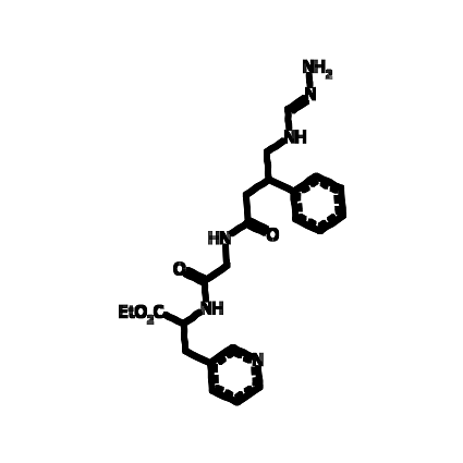 CCOC(=O)C(Cc1cccnc1)NC(=O)CNC(=O)CC(CNC=NN)c1ccccc1